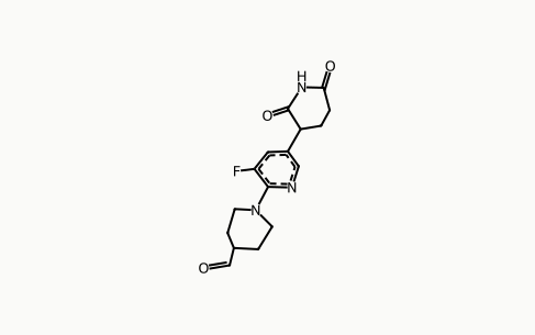 O=CC1CCN(c2ncc(C3CCC(=O)NC3=O)cc2F)CC1